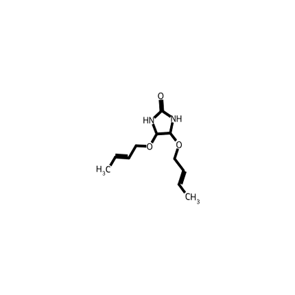 C/C=C/COC1NC(=O)NC1OC/C=C/C